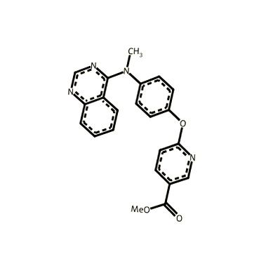 COC(=O)c1ccc(Oc2ccc(N(C)c3ncnc4ccccc34)cc2)nc1